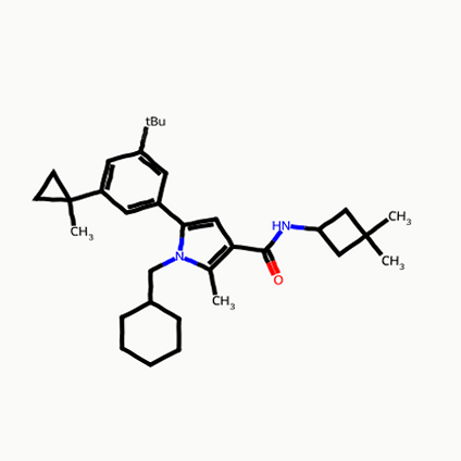 Cc1c(C(=O)NC2CC(C)(C)C2)cc(-c2cc(C(C)(C)C)cc(C3(C)CC3)c2)n1CC1CCCCC1